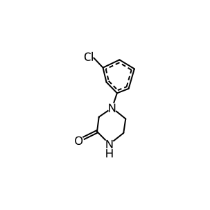 O=C1CN(c2cccc(Cl)c2)CCN1